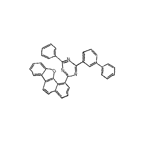 c1ccc(-c2cccc(-c3nc(-c4ccccc4)nc(-c4cccc5ccc6c7ccccc7oc6c45)n3)c2)cc1